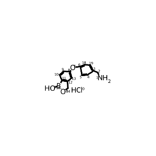 Cl.NCc1ccc(Oc2ccc3c(c2)COB3O)cc1